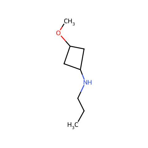 CCCNC1CC(OC)C1